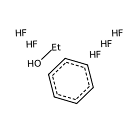 CCO.F.F.F.F.F.c1ccccc1